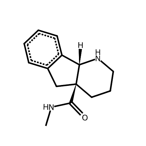 CNC(=O)[C@]12CCCN[C@H]1c1ccccc1C2